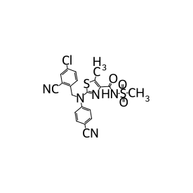 Cc1sc(N(Cc2ccc(Cl)cc2C#N)c2ccc(C#N)cc2)nc1C(=O)NS(C)(=O)=O